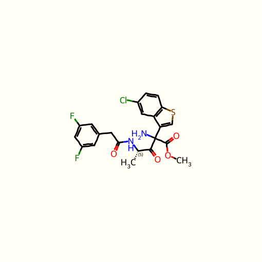 COC(=O)C(N)(C(=O)[C@H](C)NC(=O)Cc1cc(F)cc(F)c1)c1csc2ccc(Cl)cc12